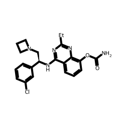 CCc1nc(N[C@H](CN2CCC2)c2cccc(Cl)c2)c2cccc(OC(N)=O)c2n1